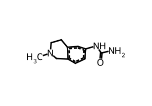 CN1CCc2cc(NC(N)=O)ccc2C1